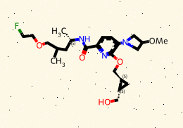 COC1CN(c2ccc(C(=O)N[C@@H](C)CC(C)COCCF)nc2OC[C@H]2C[C@@H]2CO)C1